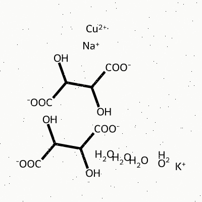 O.O.O.O.O=C([O-])C(O)C(O)C(=O)[O-].O=C([O-])C(O)C(O)C(=O)[O-].[Cu+2].[K+].[Na+]